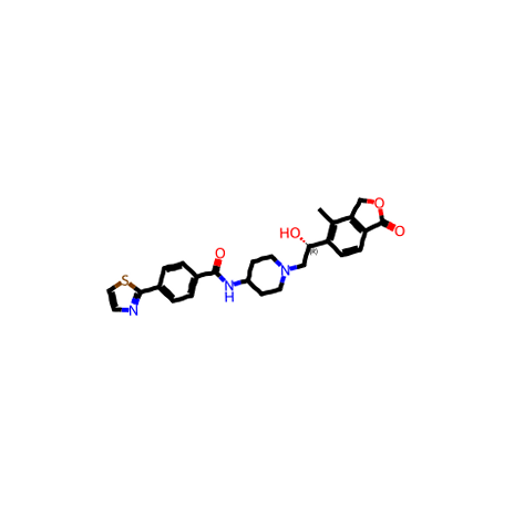 Cc1c([C@@H](O)CN2CCC(NC(=O)c3ccc(-c4nccs4)cc3)CC2)ccc2c1COC2=O